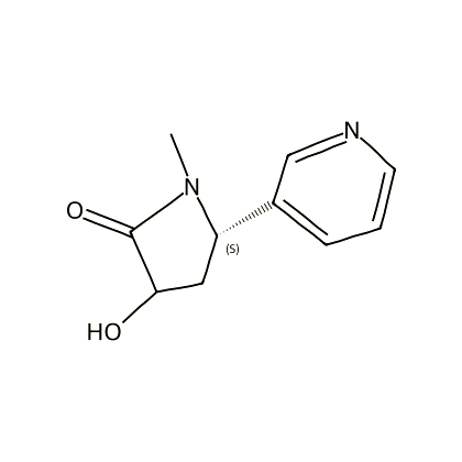 CN1C(=O)C(O)C[C@H]1c1cccnc1